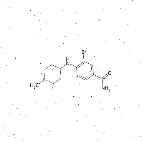 CN1CCC(Nc2ccc(C(N)=O)cc2Br)CC1